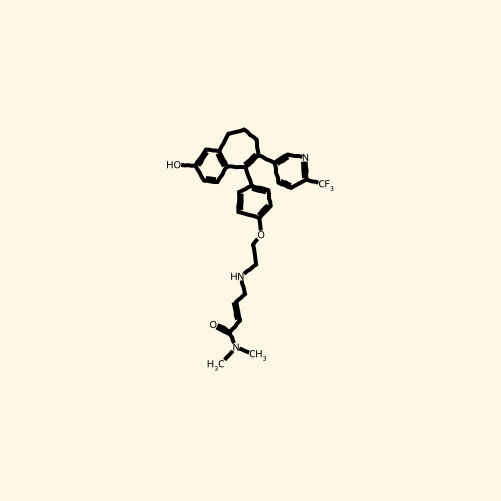 CN(C)C(=O)/C=C/CNCCOc1ccc(C2=C(c3ccc(C(F)(F)F)nc3)CCCc3cc(O)ccc32)cc1